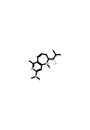 CB(C)c1cc2c(c(C)n1)C=CCC([C@@H](C)C(C)C)N2C